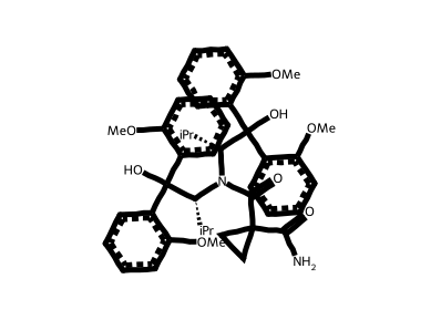 COc1ccccc1C(O)(c1ccccc1OC)[C@@H](C(C)C)N(C(=O)C1(C(N)=O)CC1)[C@H](C(C)C)C(O)(c1ccccc1OC)c1ccccc1OC